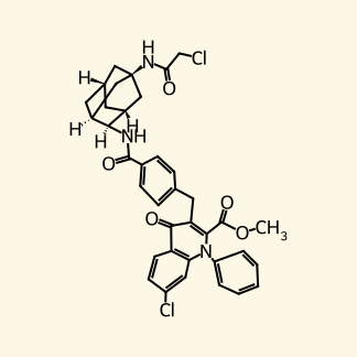 COC(=O)c1c(Cc2ccc(C(=O)N[C@@H]3[C@@H]4C[C@@H]5C[C@H]3C[C@](NC(=O)CCl)(C5)C4)cc2)c(=O)c2ccc(Cl)cc2n1-c1ccccc1